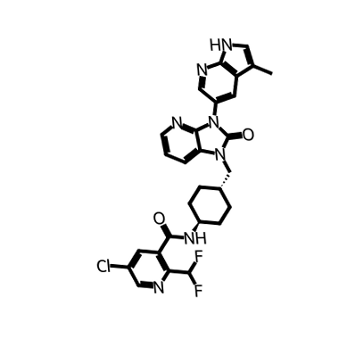 Cc1c[nH]c2ncc(-n3c(=O)n(C[C@H]4CC[C@H](NC(=O)c5cc(Cl)cnc5C(F)F)CC4)c4cccnc43)cc12